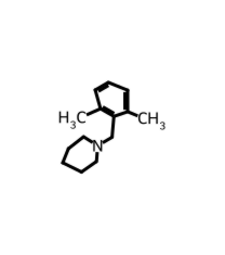 Cc1cccc(C)c1CN1CCCCC1